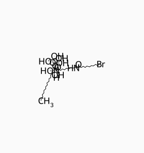 CCCCCCCCCCCCCC[C@@H](O)[C@@H](O)[C@H](CO[C@H]1O[C@H](CO)[C@H](O)[C@H](O)[C@H]1O)NC(=O)CCCCCCCCNC(=O)CCCCCCCCCBr